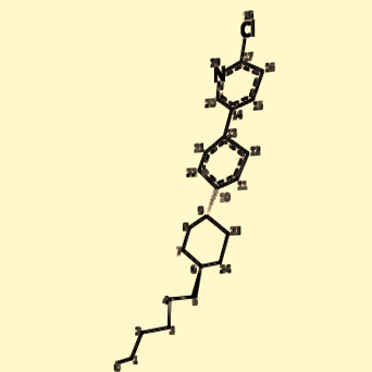 CCCCCC[C@H]1CC[C@H](c2ccc(-c3ccc(Cl)nc3)cc2)CC1